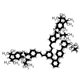 CC(C)(C)c1nc2cc(CCc3cc(CCc4ccc5c(c4)nc(C(C)(C)C)n4c6cc7c(cc6nc54)C(C)(C)CC7(C)C)cc(-c4ccccc4-c4ccc(-c5cc(OS(=O)(=O)C(F)(F)F)ccn5)cc4)c3)ccc2c2nc3cc4c(cc3n12)C(C)(C)CC4(C)C